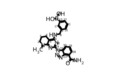 CN1CCCc2c(NCc3cccc(B(O)O)c3)nc(-n3nnc4c(C(N)=O)cccc43)nc21